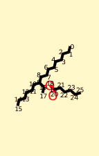 CCCCCCCCCC(CCCCCC)C(C)OC(=O)CCCCC